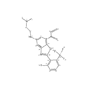 CN(C)CCNc1cc(C(=O)C=O)c2oc(-c3c(F)cccc3C(F)(F)F)nc2c1